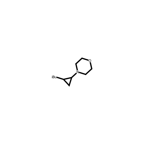 CCC(C)C1CC1N1CCOCC1